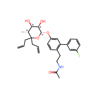 C=CCC1(CC=C)O[C@@H](Oc2ccc(CCNC(C)=O)c(-c3cccc(F)c3)c2)[C@H](O)[C@H](O)[C@H]1C